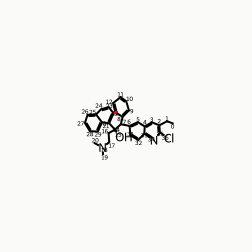 CCc1cc2cc(C(c3ccccc3)C(O)(CCN(C)C)c3cccc4ccccc34)ccc2nc1Cl